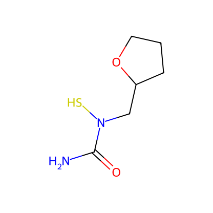 NC(=O)N(S)CC1CCCO1